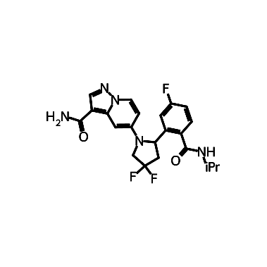 CC(C)NC(=O)c1ccc(F)cc1C1CC(F)(F)CN1c1ccn2ncc(C(N)=O)c2c1